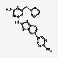 Nc1ccc(-c2ccc3nc(Nc4cc(Cc5ccccc5)nc(N)n4)sc3c2)cn1